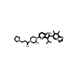 Cc1c(-c2[nH]c3ccc(N4CCN(C(=O)CCN5CCCC5)C[C@@H]4C)nc3c2C(C)C)cn2ncnc2c1C